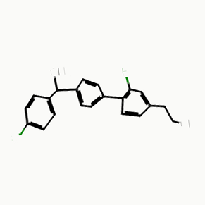 CCCc1ccc(-c2ccc(C(C)c3ccc(Cl)cc3)cc2)c(F)c1